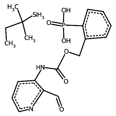 CCC(C)(C)[SiH3].O=Cc1ncccc1NC(=O)OCc1ccccc1P(=O)(O)O